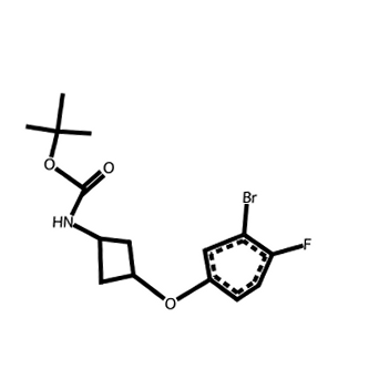 CC(C)(C)OC(=O)NC1CC(Oc2ccc(F)c(Br)c2)C1